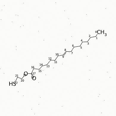 CCCCCCCCC=CCCCCCCCC(=O)OCCS